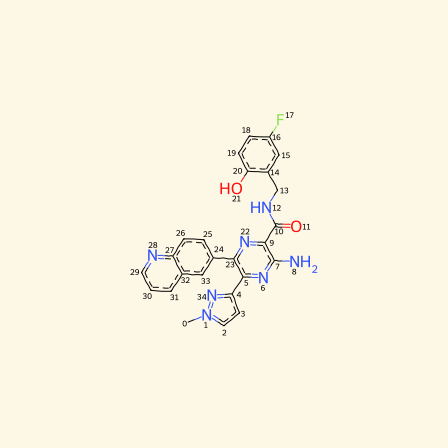 Cn1ccc(-c2nc(N)c(C(=O)NCc3cc(F)ccc3O)nc2-c2ccc3ncccc3c2)n1